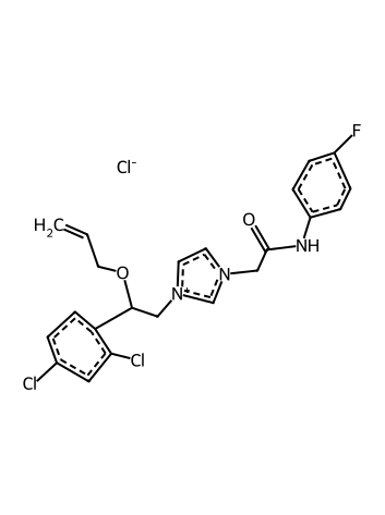 C=CCOC(C[n+]1ccn(CC(=O)Nc2ccc(F)cc2)c1)c1ccc(Cl)cc1Cl.[Cl-]